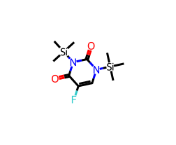 C[Si](C)(C)n1cc(F)c(=O)n([Si](C)(C)C)c1=O